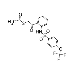 CC(=O)SCC(=O)c1ccccc1NS(=O)(=O)c1ccc(OC(F)(F)F)cc1